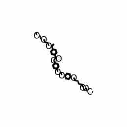 C=C=COOCCCCOc1ccc(OCOc2ccc(OC(=O)c3ccc(C(=C)OCCOCCOC)cc3)cc2)cc1